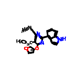 CNc1nc(-c2cccc3[nH]ccc23)nc(O[C@H]2CCOC2)c1C(=O)O